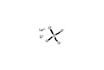 [La+3].[Li+].[O-][Ti]([O-])([O-])[O-]